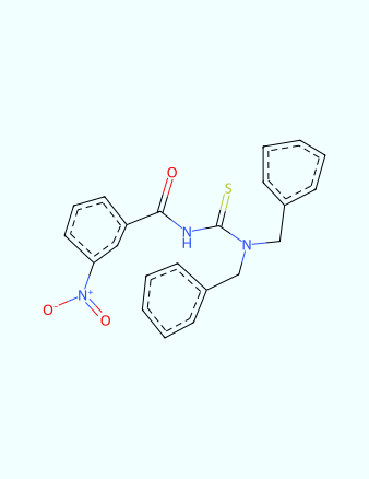 O=C(NC(=S)N(Cc1ccccc1)Cc1ccccc1)c1cccc([N+](=O)[O-])c1